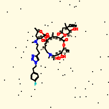 CC[C@H]1OC(=O)[C@H](C)[C@@H](O[C@H]2C[C@@](C)(OC)[C@@H](O)[C@H](C)O2)[C@H](C)[C@@H](O[C@@H]2O[C@H](C)C[C@H](N(C)CCCc3cn(CCc4ccc(F)cc4)nn3)[C@H]2O)[C@](C)(O)C[C@@H](C)CN(C)[C@H](C)[C@@H](O)[C@]1(C)O